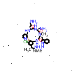 CNC(N)[C@H](C)c1cc(Cl)c2c(c1)CNC(=O)[C@H](Cc1c[nH]c3ccccc13)N(C)C(=O)[C@H](CN)NC(=O)[C@H](CCCN)NCc1cccnc1S2